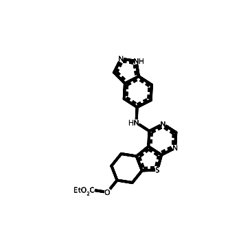 CCOC(=O)OC1CCc2c(sc3ncnc(Nc4ccc5[nH]ncc5c4)c23)C1